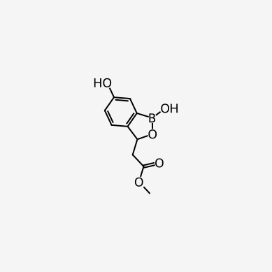 COC(=O)CC1OB(O)c2cc(O)ccc21